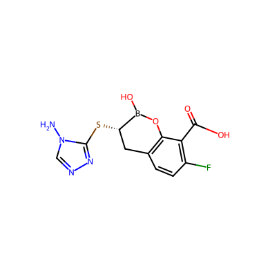 Nn1cnnc1S[C@H]1Cc2ccc(F)c(C(=O)O)c2OB1O